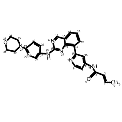 C/C=C/C(=O)Nc1ccnc(-c2cccc3cnc(Nc4ccc(N5CCOCC5)nc4)nc23)c1